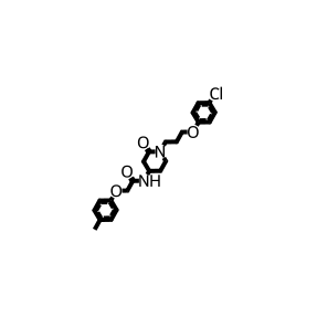 Cc1ccc(OCC(=O)NC2CCN(CCCOc3ccc(Cl)cc3)C(=O)C2)cc1